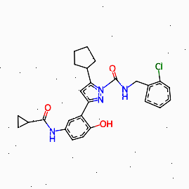 O=C(Nc1ccc(O)c(-c2cc(C3CCCC3)n(C(=O)NCc3ccccc3Cl)n2)c1)C1CC1